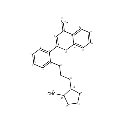 C=C1C=C(c2ccccc2CCCN2CCCC2C=O)Cc2ccccc21